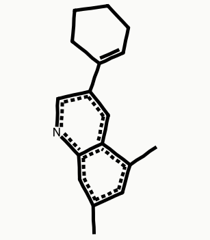 Cc1cc(C)c2cc(C3=CCCCC3)cnc2c1